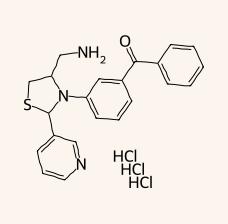 Cl.Cl.Cl.NCC1CSC(c2cccnc2)N1c1cccc(C(=O)c2ccccc2)c1